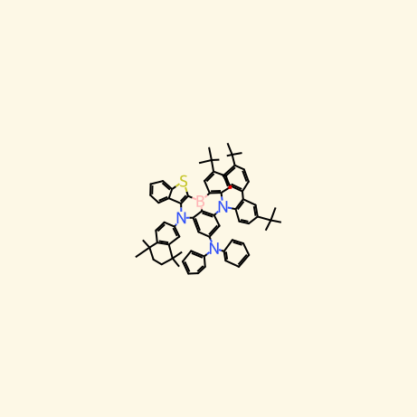 CC(C)(C)c1ccc(-c2cc(C(C)(C)C)ccc2N2c3ccc(C(C)(C)C)cc3B3c4sc5ccccc5c4N(c4ccc5c(c4)C(C)(C)CCC5(C)C)c4cc(N(c5ccccc5)c5ccccc5)cc2c43)cc1